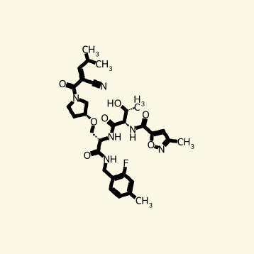 Cc1ccc(CNC(=O)[C@H](CO[C@H]2CCN(C(=O)C(C#N)=CC(C)C)C2)NC(=O)[C@@H](NC(=O)c2cc(C)no2)[C@@H](C)O)c(F)c1